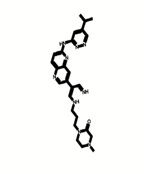 CC(C)c1cnnc(Nc2ccc3ncc(/C(C=N)=C/NCCCN4CCN(C)CC4=O)cc3n2)c1